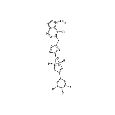 Cn1cnc2ncn(Cc3nc([C@H]4[C@@H]5C=C(c6cc(F)c(Cl)c(F)c6)C[C@@H]54)no3)c(=O)c21